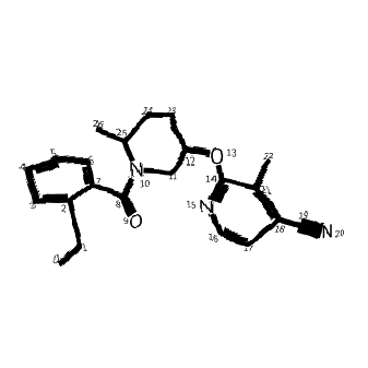 CCc1ccccc1C(=O)N1CC(Oc2nccc(C#N)c2C)CCC1C